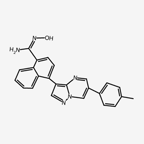 Cc1ccc(-c2cnc3c(-c4ccc(/C(N)=N\O)c5ccccc45)cnn3c2)cc1